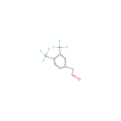 O=CCc1ccc(C(F)(F)F)c(C(F)(F)F)c1